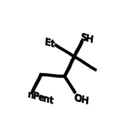 CCCCCCC(O)C(C)(S)CC